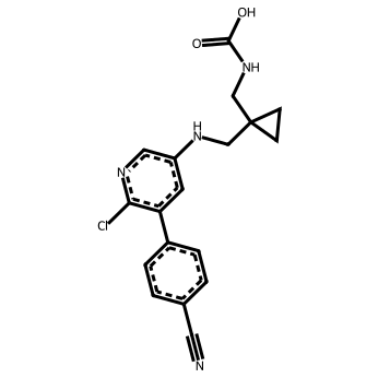 N#Cc1ccc(-c2cc(NCC3(CNC(=O)O)CC3)cnc2Cl)cc1